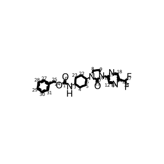 O=C(N[C@H]1CC[C@H](N2CCN(c3cnc(C(F)F)cn3)C2=O)CC1)OCc1ccccc1